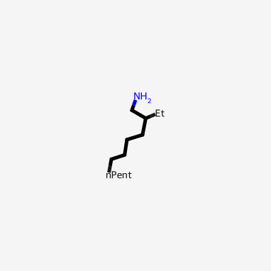 CCCCCCCCCC(CC)CN